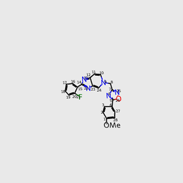 COc1ccc(-c2nc(Cn3ccc4nc(-c5ccccc5F)nc-4c3)no2)cc1